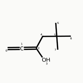 C=C=C(O)CC(C)(C)C